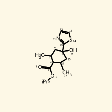 CC(C)OC(=O)C1C(C)CC(O)(c2nccs2)CC1C